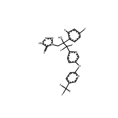 OC(Cn1nn[nH]c1=S)(c1ccc(F)cc1F)C(F)(F)c1ccc(Oc2ccc(C(F)(F)F)cn2)cn1